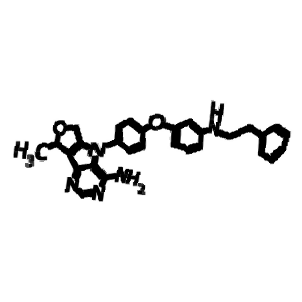 CC1OCc2c1c1ncnc(N)c1n2-c1ccc(Oc2cccc(NCCc3ccccc3)c2)cc1